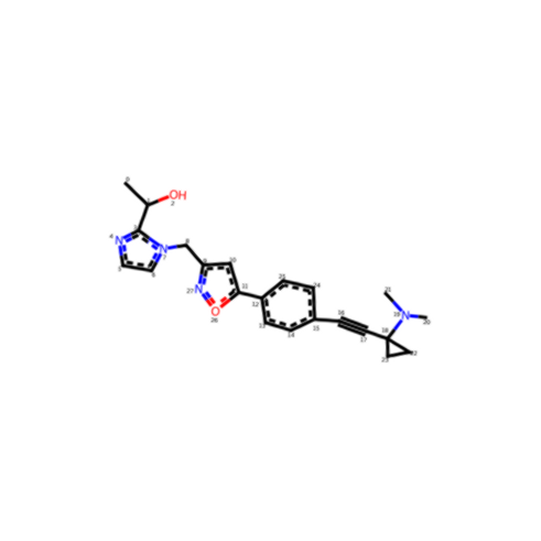 CC(O)c1nccn1Cc1cc(-c2ccc(C#CC3(N(C)C)CC3)cc2)on1